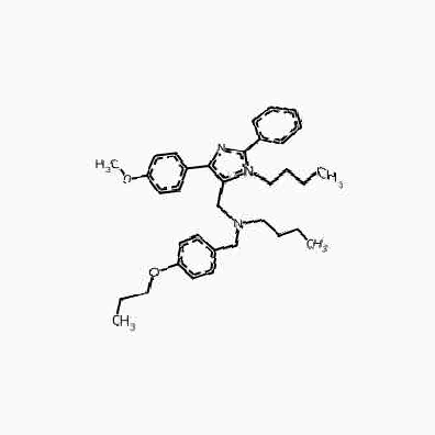 CCCCN(Cc1ccc(OCCC)cc1)Cc1c(-c2ccc(OC)cc2)nc(-c2ccccc2)n1CCCC